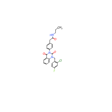 CCCNC(=O)Cc1ccc(-n2c(=O)c3ccccc3n(Cc3ccc(F)cc3Cl)c2=O)cc1